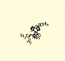 COc1ccc(N2C(=O)c3[nH]nc(CC(C)C)c3C2c2sccc2C)cn1